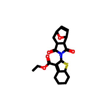 CCOC(=O)C1=C2CCCCC2SC1N1C(=O)C2CC3C=CC(O3)C2C1=O